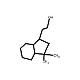 CC1(C)CC(CCO)C2CCCCC21